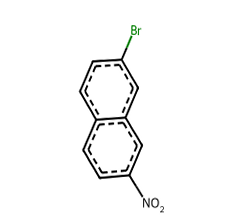 O=[N+]([O-])c1ccc2ccc(Br)cc2c1